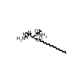 CCCCCCCC/C=C/CCCCCCCC(=O)OCC[C@@H](COC(=O)[C@@H](N)C(C)C)Cn1cnc2cnc(N)nc21